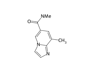 CNC(=O)c1cc(C)c2nccn2c1